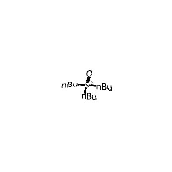 CCCC[S+](=O)(CCCC)CCCC